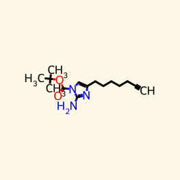 C#CCCCCCc1cn(C(=O)OC(C)(C)C)c(N)n1